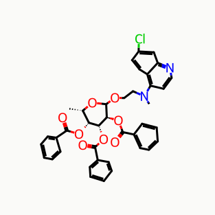 C[C@@H]1OC(OCCN(C)c2ccnc3cc(Cl)ccc23)[C@@H](OC(=O)c2ccccc2)[C@H](OC(=O)c2ccccc2)[C@@H]1OC(=O)c1ccccc1